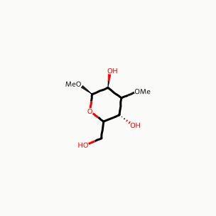 COC1[C@H](O)C(CO)O[C@@H](OC)[C@H]1O